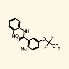 O=C(Nc1ccccc1[N+](=O)[O-])c1cccc(OC(F)(F)C(F)(F)F)c1.[Na]